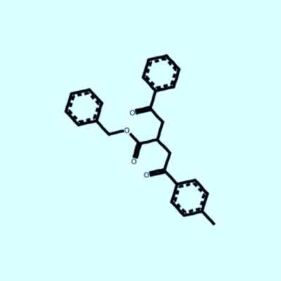 Cc1ccc(C(=O)CC(CC(=O)c2ccccc2)C(=O)OCc2ccccc2)cc1